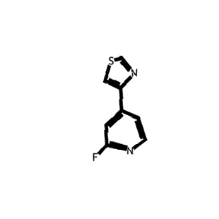 Fc1cc(-c2cscn2)ccn1